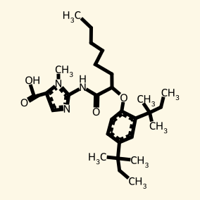 CCCCCCC(Oc1ccc(C(C)(C)CC)cc1C(C)(C)CC)C(=O)Nc1ncc(C(=O)O)n1C